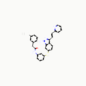 Cc1cccc(CC(=O)Nc2cccc(Sc3ccc4c(/C=C/c5ccccn5)n[nH]c4c3)c2)c1